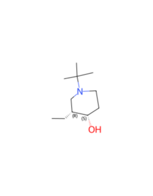 CC[C@@H]1CN(C(C)(C)C)CC[C@@H]1O